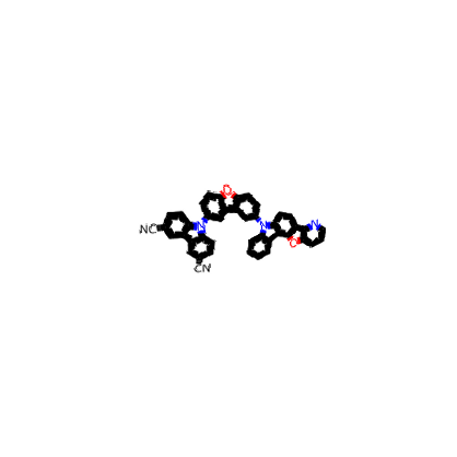 N#Cc1ccc2c(c1)c1cc(C#N)ccc1n2-c1ccc2oc3ccc(-n4c5ccccc5c5c6oc7cccnc7c6ccc54)cc3c2c1